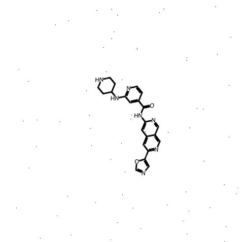 O=C(Nc1cc2cc(-c3cnco3)ncc2cn1)c1ccnc(NC2CCNCC2)c1